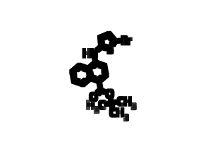 CC(C)(C)OC(=O)c1ccc(Nc2ccc(Br)s2)c2ccccc12